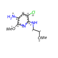 COCCNc1nc(OC)c(N)cc1Cl